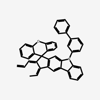 C=C/C=C1\C(=C/C)c2cc3c4ccccc4n(-c4cccc(-c5ccccc5)c4)c3cc2C12c1ccccc1Oc1ccccc12